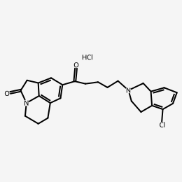 Cl.O=C(CCCCN1CCc2c(Cl)cccc2C1)c1cc2c3c(c1)CC(=O)N3CCC2